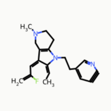 C=C(F)/C=c1/c2c(n(CCc3cc#cnc3)/c1=C/C)CCN(C)C2